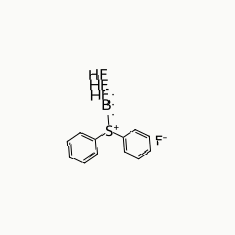 C[S+](c1ccccc1)c1ccccc1.F.F.F.[B].[F-]